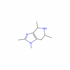 Cc1nc2c(n1C)CC(C)NC2C